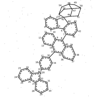 c1ccc2c(c1)-c1c(-c3c4ccccc4c(-c4ccc(-n5c6ccccc6c6ccccc65)cc4)c4ccccc34)cccc1C21C2CC3CC(C2)CC1C3